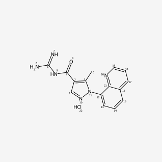 Cc1c(C(=O)NC(=N)N)cnn1-c1cccc2cccnc12.Cl